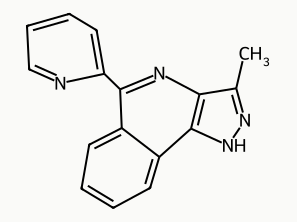 Cc1n[nH]c2c1nc(-c1ccccn1)c1ccccc12